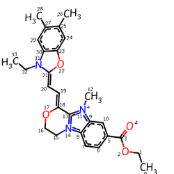 CCOC(=O)c1ccc2c(c1)[n+](C)c1n2CCOC1=CC=C1Oc2cc(C)c(C)cc2N1CC